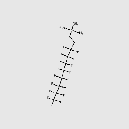 NS(N)(N)CCC(F)(F)C(F)(F)C(F)(F)C(F)(F)C(F)(F)C(F)(F)C(F)(F)C(F)(F)F